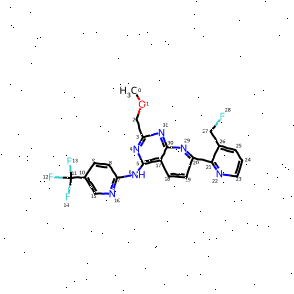 COCc1nc(Nc2ccc(C(F)(F)F)cn2)c2ccc(-c3ncccc3CF)nc2n1